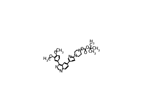 COc1ccc(-c2ncnc3ccc(-c4ccc(N5CCN(OC(=O)OC(C)(C)C)CC5)nc4)cc23)cc1OC